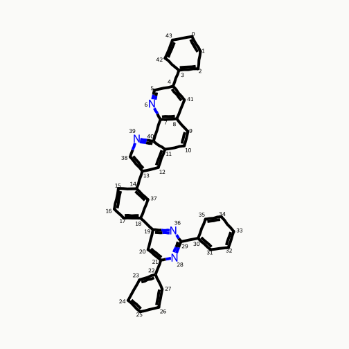 c1ccc(-c2cnc3c(ccc4cc(-c5cccc(-c6cc(-c7ccccc7)nc(-c7ccccc7)n6)c5)cnc43)c2)cc1